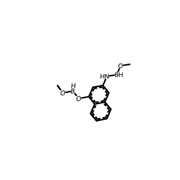 COBNc1cc(OBOC)c2ccccc2c1